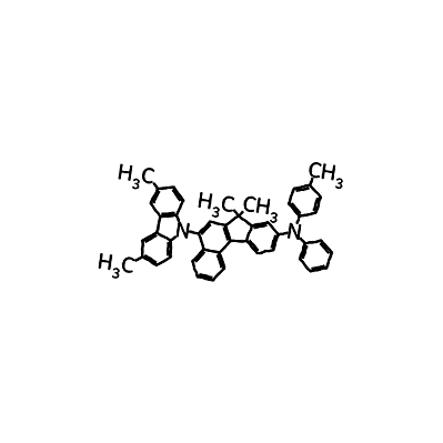 Cc1ccc(N(c2ccccc2)c2ccc3c(c2)C(C)(C)c2cc(-n4c5ccc(C)cc5c5cc(C)ccc54)c4ccccc4c2-3)cc1